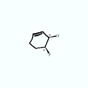 F[C@H]1CCC=C[C@H]1Cl